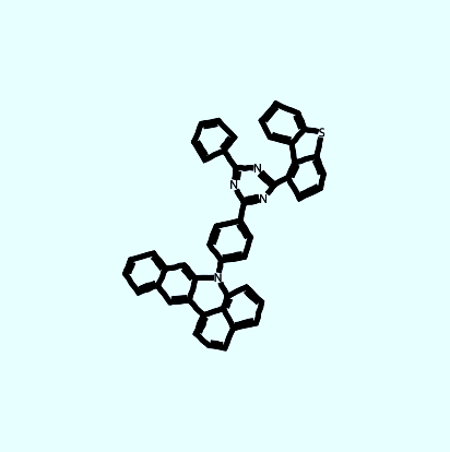 c1ccc(-c2nc(-c3ccc(N4c5cc6ccccc6cc5-c5cccc6cccc4c56)cc3)nc(-c3cccc4sc5ccccc5c34)n2)cc1